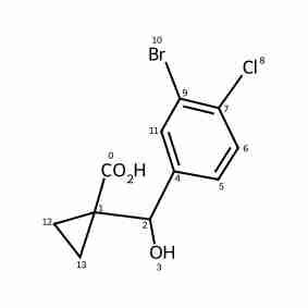 O=C(O)C1(C(O)c2ccc(Cl)c(Br)c2)CC1